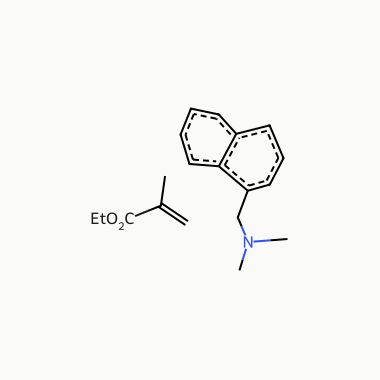 C=C(C)C(=O)OCC.CN(C)Cc1cccc2ccccc12